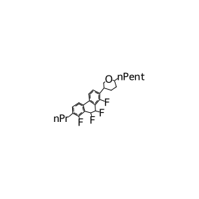 CCCCCC1CCC(c2ccc3c(c2F)C(F)C(F)c2c-3ccc(CCC)c2F)CO1